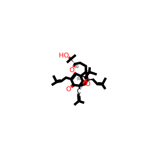 CC(C)=CCC1=C2O[C@H](C(C)(C)O)CC[C@]3(C)[C@@H](CC=C(C)C)C[C@](CC=C(C)C)(C1=O)C(=O)[C@]23C(=O)C(C)C